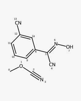 COC#N.N#CC(=NO)c1cccc(C#N)c1